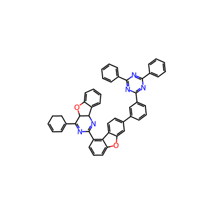 C1=CCCC(C2=NC(c3cccc4oc5cc(-c6cccc(-c7nc(-c8ccccc8)nc(-c8ccccc8)n7)c6)ccc5c34)=NC3c4ccccc4OC23)=C1